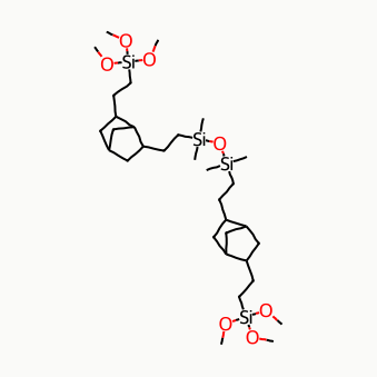 CO[Si](CCC1CC2CC1CC2CC[Si](C)(C)O[Si](C)(C)CCC1CC2CC(CC[Si](OC)(OC)OC)C1C2)(OC)OC